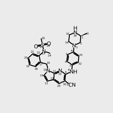 C[C@H]1CN(c2ccc(Nc3nc4c(ccn4Cc4ccccc4N(C)S(C)(=O)=O)cc3C#N)cc2)CCN1